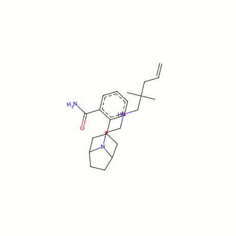 C=CCC(C)(C)CNCCN1C2CCC1CC(c1ccccc1C(N)=O)C2